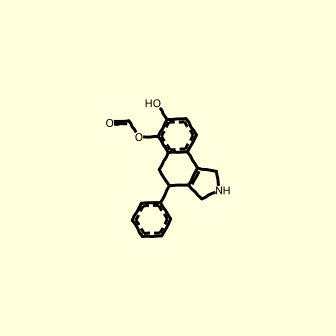 O=COc1c(O)ccc2c1CC(c1ccccc1)C1=C2CNC1